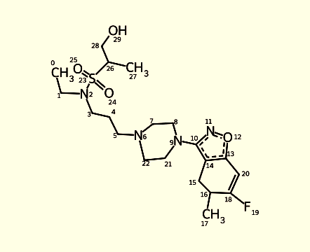 CCN(CCCN1CCN(c2noc3c2CC(C)C(F)=C3)CC1)S(=O)(=O)C(C)CO